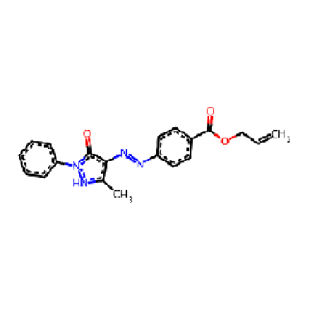 C=CCOC(=O)c1ccc(N=Nc2c(C)[nH]n(-c3ccccc3)c2=O)cc1